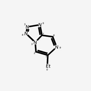 CCc1cn2nnnc2cn1